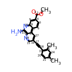 COC(=O)c1ccc2c(c1)nc(N)c1ncc(C#Cc3ccc(C)cc3C)cc12